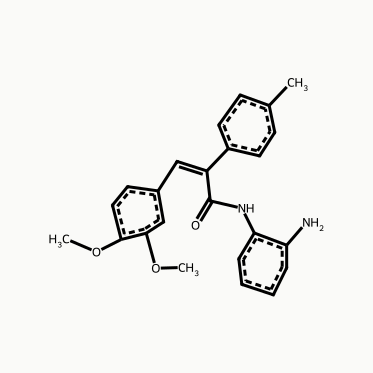 COc1ccc(C=C(C(=O)Nc2ccccc2N)c2ccc(C)cc2)cc1OC